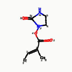 CCC=C(C)C(=O)ON1CCNC1=O